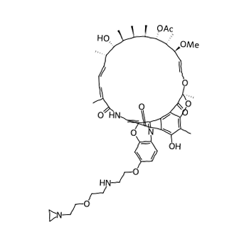 CO[C@H]1/C=C/O[C@@]2(C)Oc3c(C)c(O)c4c(=O)c(c5oc6cc(OCCNCCOCCN7CC7)ccc6nc-5c4c3C2=O)NC(=O)/C(C)=C\C=C\[C@H](C)[C@H](O)[C@@H](C)[C@@H](C)[C@@H](C)[C@H](OC(C)=O)[C@@H]1C